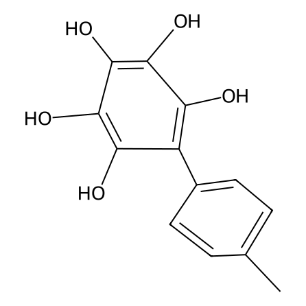 Cc1ccc(-c2c(O)c(O)c(O)c(O)c2O)cc1